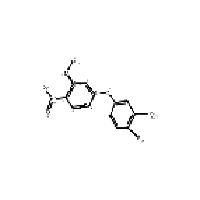 COc1cc(Oc2ccc(F)c(N)c2)ccc1[N+](=O)[O-]